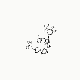 COc1c(F)cc(-c2nc(Nc3cc(N4CCN(CCC(=O)O)CC4)ncn3)sc2CN2CCCC2C)cc1C(F)(F)F